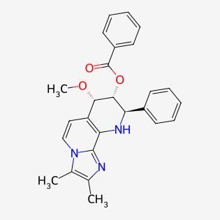 CO[C@H]1c2ccn3c(C)c(C)nc3c2N[C@H](c2ccccc2)[C@H]1OC(=O)c1ccccc1